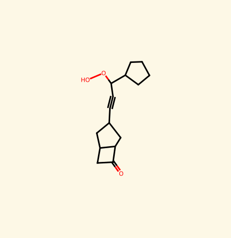 O=C1CC2CC(C#CC(OO)C3CCCC3)CC12